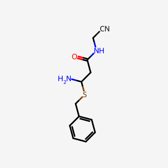 N#CCNC(=O)CC(N)SCc1ccccc1